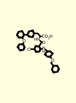 O=C(N[C@@H](Cc1ccc(-c2ccccc2Oc2ccccc2)cc1)C(=O)O)c1cc(Cl)ccc1Nc1ccc(OCc2ccccc2)cc1